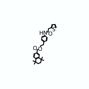 CC1(C)CCC(C)(C)c2cc(C(=O)OCCc3ccc(NC(=O)Cc4cccs4)cc3)ccc21